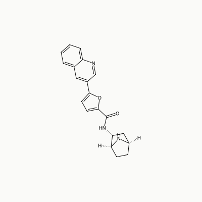 O=C(N[C@@H]1C[C@H]2CC[C@@H]1N2)c1ccc(-c2cnc3ccccc3c2)o1